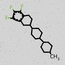 CC1CCC(C2CCC(C3CCc4c(cc(F)c(F)c4F)C3)CC2)CC1